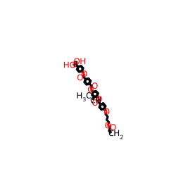 C=CC(=O)OCCCCOc1ccc(C(=O)Oc2ccc(OC(=O)c3ccc(C(=O)Oc4ccc(B(O)O)cc4)cc3)c(C)c2C)cc1